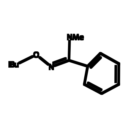 CCC(C)ON=C(NC)c1ccccc1